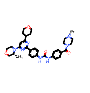 CC(C)N1CCN(C(=O)c2ccc(NC(=O)Nc3ccc(-c4nc(C5CCOCC5)cc(N5CCOC[C@H]5C)n4)cc3)cc2)CC1